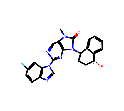 Cn1c(=O)n(C2CC[C@@H](O)c3ccccc32)c2nc(-n3cnc4ccc(F)cc43)ncc21